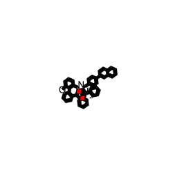 N/C(=N\C(=N/Cc1ccccc1)c1ccc(-c2ccc3ccccc3c2)cc1)c1cccc2oc3cccc(-c4ccc(-c5ccccc5)cc4)c3c12